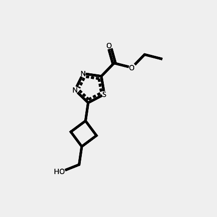 CCOC(=O)c1nnc(C2CC(CO)C2)s1